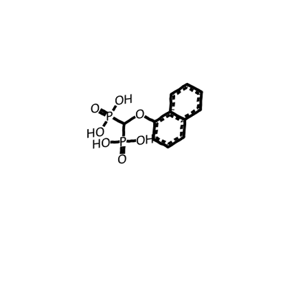 O=P(O)(O)C(Oc1cccc2ccccc12)P(=O)(O)O